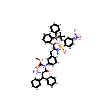 COC(=O)N(C(=O)[C@@H](N)C(c1ccccc1)c1ccccc1)c1cccc(C[C@@H](CO[Si](c2ccccc2)(c2ccccc2)C(C)(C)C)NS(=O)(=O)c2ccc([N+](=O)[O-])cc2)c1